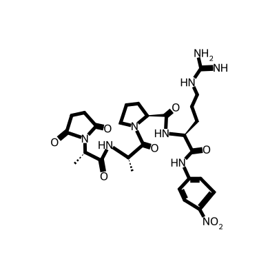 C[C@H](NC(=O)[C@H](C)N1C(=O)CCC1=O)C(=O)N1CCC[C@H]1C(=O)N[C@@H](CCCNC(=N)N)C(=O)Nc1ccc([N+](=O)[O-])cc1